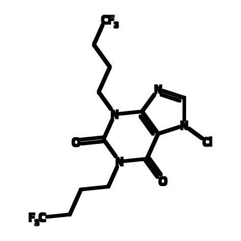 O=c1c2c(ncn2Cl)n(CCCC(F)(F)F)c(=O)n1CCCC(F)(F)F